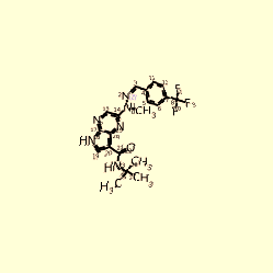 CN(/N=C\c1ccc(C(F)(F)F)cc1)c1cnc2[nH]cc(C(=O)NC(C)(C)C)c2n1